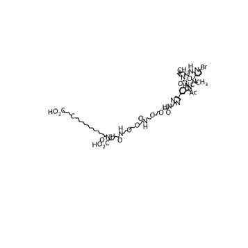 CC(=O)c1nn(CC(=O)N2C3C[C@]3(C)C[C@H]2C(=O)Nc2nc(Br)ccc2CN(C)C)c2ccc(-c3cnc(CNC(=O)COCCOCCNC(=O)COCCOCCNC(=O)CC[C@H](NC(=O)CCCCCCCCCCCCCCCCC(=O)O)C(=O)O)nc3)cc12